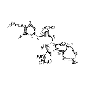 COc1ccc(CN(C=O)C[C@H](NC(=O)NC=O)c2cc3cc(Br)ccc3o2)cc1